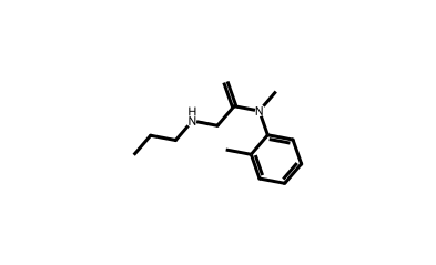 C=C(CNCCC)N(C)c1ccccc1C